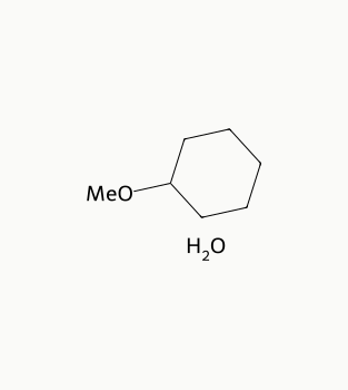 COC1CCCCC1.O